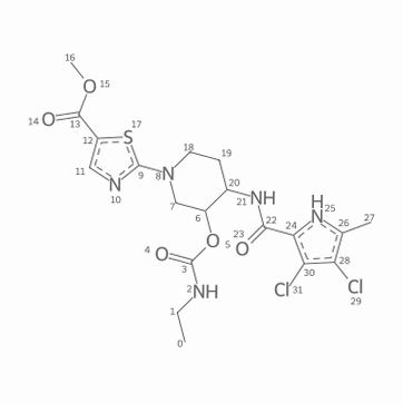 CCNC(=O)OC1CN(c2ncc(C(=O)OC)s2)CCC1NC(=O)c1[nH]c(C)c(Cl)c1Cl